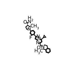 C[C@@H]1c2ccccc2CCN1C(=O)c1cc(C2CC2)n2nc(-c3ccc(N4CC[C@@H](C(N)=O)[C@H]4C)cc3F)cc2n1